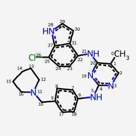 Cc1cnc(Nc2ccc(CN3CCCCC3)cc2)nc1Nc1ccc(Cl)c2[nH]ccc12